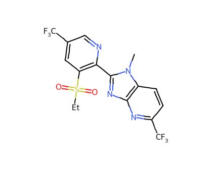 CCS(=O)(=O)c1cc(C(F)(F)F)cnc1-c1nc2nc(C(F)(F)F)ccc2n1C